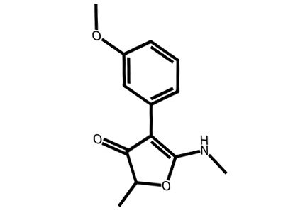 CNC1=C(c2cccc(OC)c2)C(=O)C(C)O1